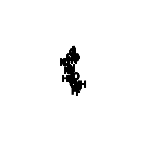 CCOc1cccnc1Oc1cncc(-c2ncc(C(=O)N[C@H]3CC[C@@H](C(F)(F)F)NC3)cn2)c1